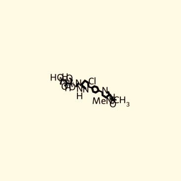 CNS(C)(=O)=Nc1ccc(-c2ccc(-c3nc4[nH]c(O[C@@H]5CO[C@H]6[C@@H]5OC[C@H]6O)nc4cc3Cl)cc2)nc1